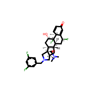 CN(C)C(=O)[C@@]12CN(Cc3cc(F)cc(F)c3)C[C@@H]1C[C@H]1[C@@H]3C[C@H](F)C4=CC(=O)C=C[C@]4(C)[C@@]3(F)[C@@H](O)C[C@@]12C